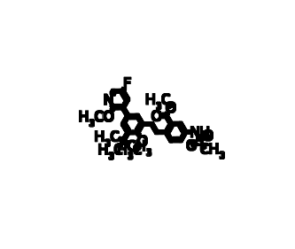 COC(=O)c1cc(NS(C)(=O)=O)ccc1CCc1cc(-c2cc(F)cnc2OC)cc(C(C)(C)C)c1OC